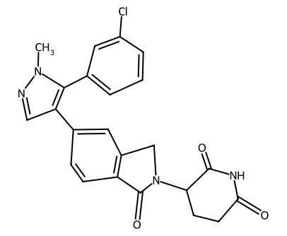 Cn1ncc(-c2ccc3c(c2)CN(C2CCC(=O)NC2=O)C3=O)c1-c1cccc(Cl)c1